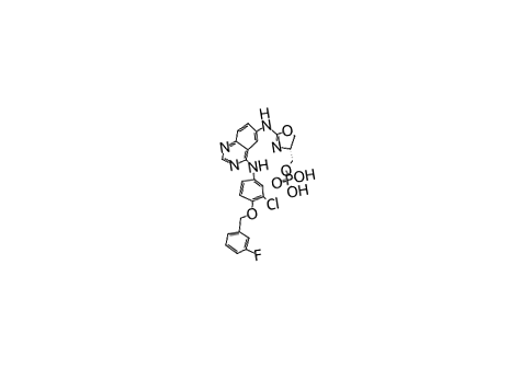 O=P(O)(O)OC[C@H]1COC(Nc2ccc3ncnc(Nc4ccc(OCc5cccc(F)c5)c(Cl)c4)c3c2)=N1